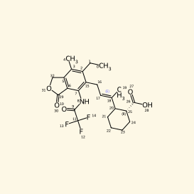 CCc1c(C)c2c(c(NC(=O)C(F)(F)F)c1C/C=C(\C)C1CCCC[C@H]1C(=O)O)C(=O)OC2